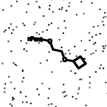 CCCCCOCCOC1CCC1